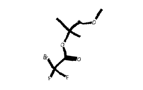 COCC(C)(C)OC(=O)C(F)(F)Br